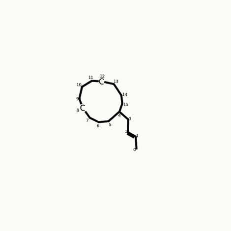 CC=CCC1CCCCCCCCCCC1